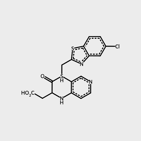 O=C(O)CC1Nc2ccncc2[SH](Cc2nc3cc(Cl)ccc3s2)C1=O